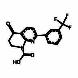 O=C1CCN(C(=O)O)c2nc(-c3cccc(C(F)(F)F)c3)ccc21